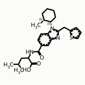 CC(C)CC(NC(=O)c1ccc2c(c1)nc(Cc1cccs1)n2[C@H]1CCCC[C@@H]1C)C(=O)O